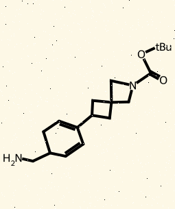 CC(C)(C)OC(=O)N1CC2(CC(C3=CCC(CN)C=C3)C2)C1